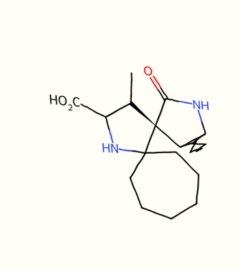 CC1C(C(=O)O)NC2(CCCCCC2)[C@@]12C(=O)NC1CCCCCCC12